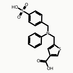 O=C(O)c1csc(CN(Cc2ccc(S(=O)(=O)O)cc2)c2ccccc2)c1